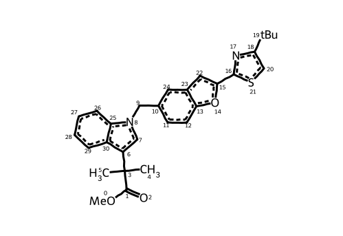 COC(=O)C(C)(C)c1cn(Cc2ccc3oc(-c4nc(C(C)(C)C)cs4)cc3c2)c2ccccc12